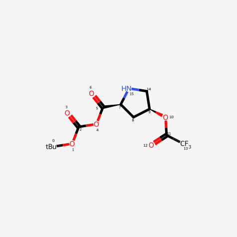 CC(C)(C)OC(=O)OC(=O)[C@@H]1C[C@H](OC(=O)C(F)(F)F)CN1